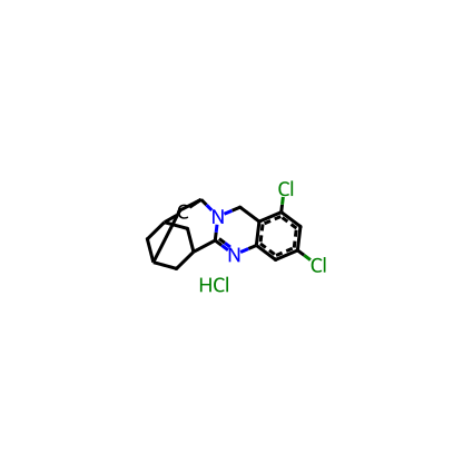 Cl.Clc1cc(Cl)c2c(c1)N=C1C3CC4CC(C3)CC(C4)N1C2